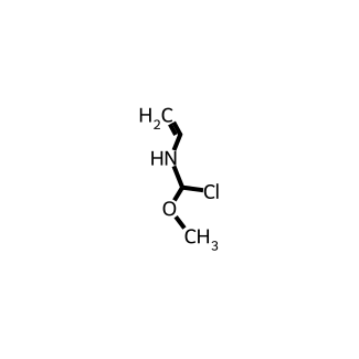 C=CNC(Cl)OC